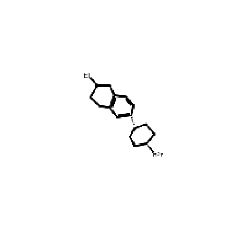 CCC[C@H]1CC[C@H](c2ccc3c(c2)CCC(CC)C3)CC1